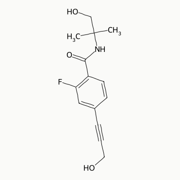 CC(C)(CO)NC(=O)c1ccc(C#CCO)cc1F